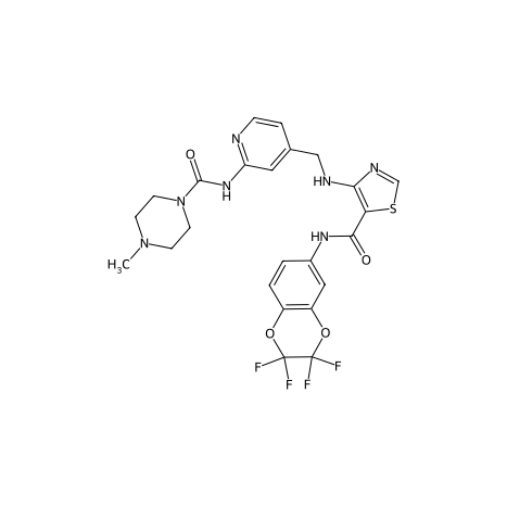 CN1CCN(C(=O)Nc2cc(CNc3ncsc3C(=O)Nc3ccc4c(c3)OC(F)(F)C(F)(F)O4)ccn2)CC1